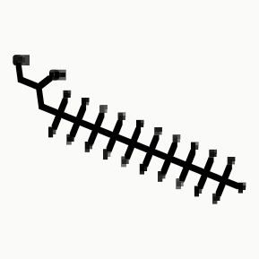 OCC(O)CC(F)(F)C(F)(F)C(F)(F)C(F)(F)C(F)(F)C(F)(F)C(F)(F)C(F)(F)C(F)(F)C(F)(F)F